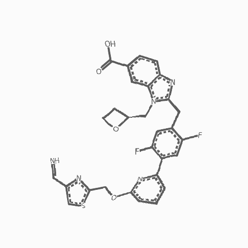 N=Cc1csc(COc2cccc(-c3cc(F)c(Cc4nc5ccc(C(=O)O)cc5n4C[C@@H]4CCO4)cc3F)n2)n1